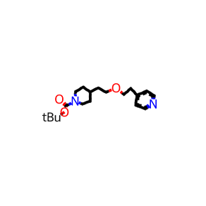 CC(C)(C)OC(=O)N1CCC(CCOCCc2ccncc2)CC1